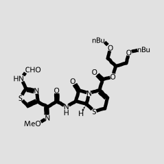 CCCCOCC(COCCCC)OC(=O)C1=CCS[C@H]2C(NC(=O)C(=NOC)c3csc(NC=O)n3)C(=O)N12